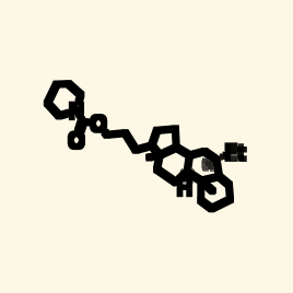 CC[C@H]1CC2C3CCC(CCCOC(=O)N4CCCCC4)C3(C)CC[C@@H]2C2(C)CCCCC12